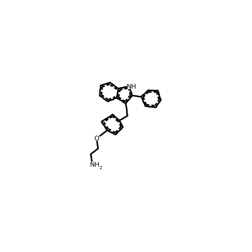 NCCOc1ccc(Cc2c(-c3ccccc3)[nH]c3ccccc23)cc1